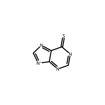 S=C1N=CN=C2[N+]=CN=C12